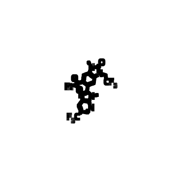 CCS(=O)(=O)c1cc2c(cc1-c1nc3cc(C(F)(F)F)cnc3n1C)n(CC(F)(F)F)c(=O)n2C